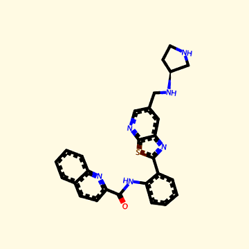 O=C(Nc1ccccc1-c1nc2cc(CN[C@H]3CCNC3)cnc2s1)c1ccc2ccccc2n1